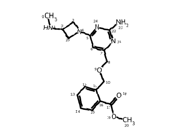 CNC1CN(c2cc(COCc3ccccc3C(=O)OC)nc(N)n2)C1